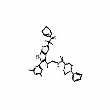 Cc1cc(C)cc(-c2[nH]c3sc(C(C)(C)C(=O)N4C5CCC4CC5)cc3c2[C@H](C)CNC(=O)N2CCC(c3ccccc3)CC2)c1